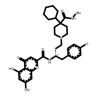 CC(C)(C)NC(=O)C1(C2CCCCC2)CCN(CC[C@H](Cc2ccc(Cl)cc2)NC(=O)c2cc(=O)c3c(O)cc(O)cc3o2)CC1